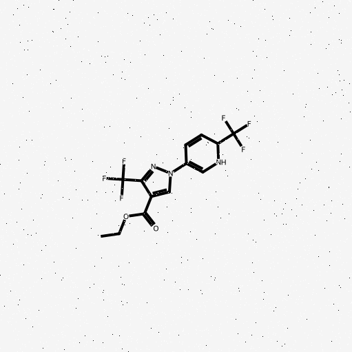 CCOC(=O)c1cn(C2=CNC(C(F)(F)F)C=C2)nc1C(F)(F)F